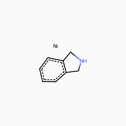 [Ni].c1ccc2c(c1)CNC2